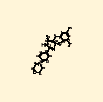 Fc1cc(F)c2c(c1)Cc1c(nc(-c3ccc(N4CCOCC4)cc3)[nH]c1=S)O2